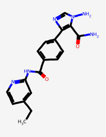 CCc1ccnc(NC(=O)c2ccc(-c3ncn(N)c3C(N)=O)cc2)c1